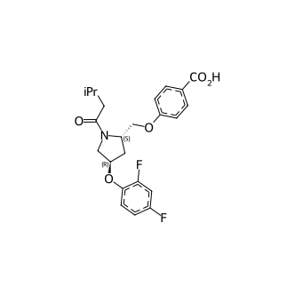 CC(C)CC(=O)N1C[C@H](Oc2ccc(F)cc2F)C[C@H]1COc1ccc(C(=O)O)cc1